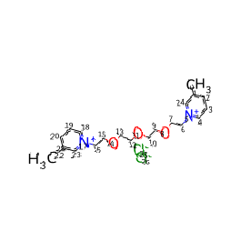 Cc1ccc[n+](CCOCCOCCOCC[n+]2cccc(C)c2)c1.[Cl-].[Cl-]